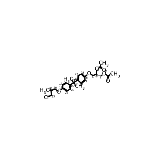 CC(=O)OC[C@H](COc1ccc(C(C)(C)c2ccc(OC[C@@H](C)CCl)cc2)cc1)OC(C)=O